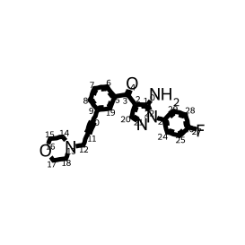 Nc1c(C(=O)c2cccc(C#CCN3CCOCC3)c2)cnn1-c1ccc(F)cc1